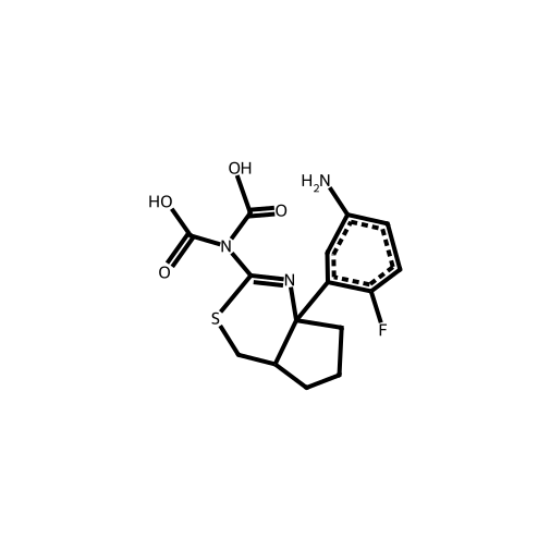 Nc1ccc(F)c(C23CCCC2CSC(N(C(=O)O)C(=O)O)=N3)c1